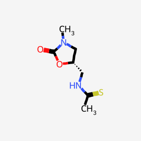 CC(=S)NC[C@H]1CN(C)C(=O)O1